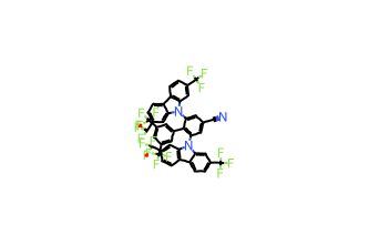 N#Cc1cc(-n2c3cc(C(F)(F)F)ccc3c3ccc(C(F)(F)F)cc32)c(-c2cc(C(F)(F)F)cc(C(F)(F)F)c2)c(-n2c3cc(C(F)(F)F)ccc3c3ccc(C(F)(F)F)cc32)c1